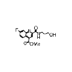 COC(=O)c1cc(C(=O)NCCCO)nc2cc(F)ccc12